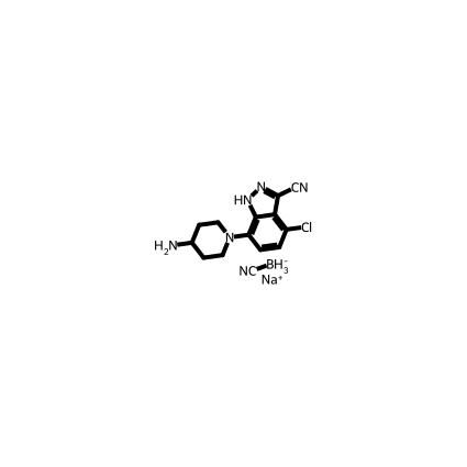 N#Cc1n[nH]c2c(N3CCC(N)CC3)ccc(Cl)c12.[BH3-]C#N.[Na+]